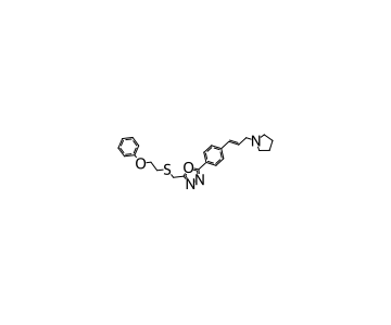 C(=Cc1ccc(-c2nnc(CSCCOc3ccccc3)o2)cc1)CN1CCCC1